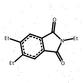 CCc1cc2c(cc1CC)C(=O)N(CC)C2=O